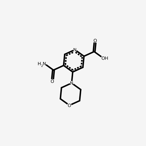 NC(=O)c1cnc(C(=O)O)cc1N1CCOCC1